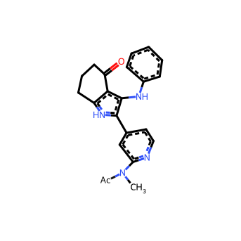 CC(=O)N(C)c1cc(-c2[nH]c3c(c2Nc2ccccc2)C(=O)CCC3)ccn1